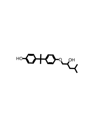 CC(C)CC(O)COc1ccc(C(C)(C)c2ccc(O)cc2)cc1